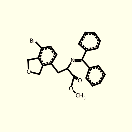 COC(=O)C(Cc1ccc(Br)c2c1COC2)N=C(c1ccccc1)c1ccccc1